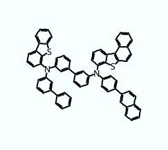 c1ccc(-c2cccc(N(c3cccc(-c4cccc(N(c5ccc(-c6ccc7ccccc7c6)cc5)c5cccc6c5sc5ccc7ccccc7c56)c4)c3)c3cccc4c3sc3ccccc34)c2)cc1